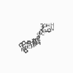 CCCC1(C)CC2(CN/C(C)=C(\C=N)c3ccc(-c4ccc5c(c4)N(c4nc6ccccc6s4)CCC5)nc3C(=O)O)CC(OCCN(CCS(=O)O)C(=O)OCc3ccc(NC)cc3)C=C12